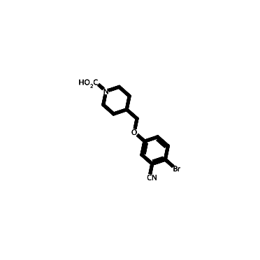 N#Cc1cc(OCC2CCN(C(=O)O)CC2)ccc1Br